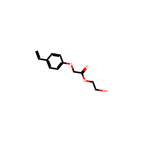 C=Cc1ccc(OCC(=O)OCCO)cc1